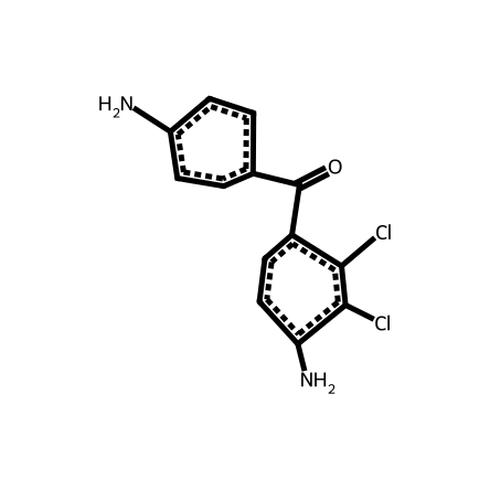 Nc1ccc(C(=O)c2ccc(N)c(Cl)c2Cl)cc1